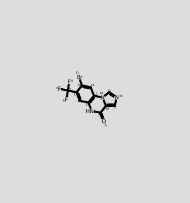 O=c1[nH]c2cc(C(F)(F)F)c(Br)cc2n2cncc12